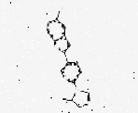 CC1CN=CN1c1ccc(-c2cc3cc(O)ccc3[nH]2)cn1